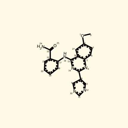 COc1ccc2nc(-c3cncnc3)nc(Nc3ccccc3C(N)=O)c2c1